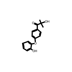 CC(C)(O)C(=O)c1ccc(Oc2ccccc2O)cc1